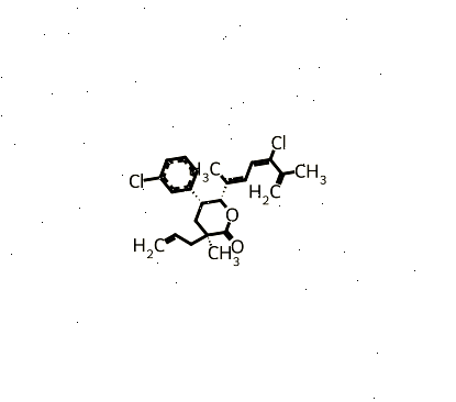 C=CC[C@@]1(C)C[C@H](c2cccc(Cl)c2)[C@H](/C(C)=C/C=C(/Cl)C(=C)C)OC1=O